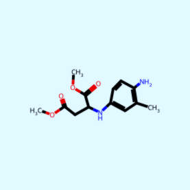 COC(=O)CC(Nc1ccc(N)c(C)c1)C(=O)OC